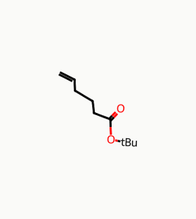 C=CCCCC(=O)OC(C)(C)C